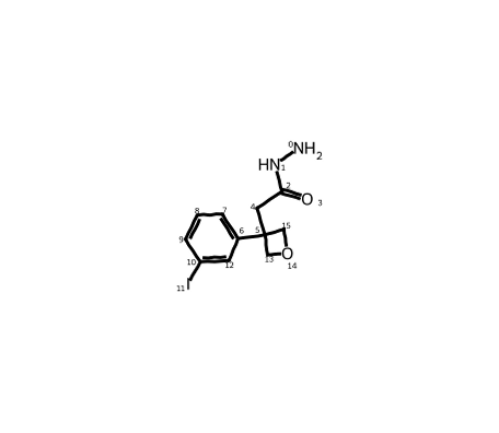 NNC(=O)CC1(c2cccc(I)c2)COC1